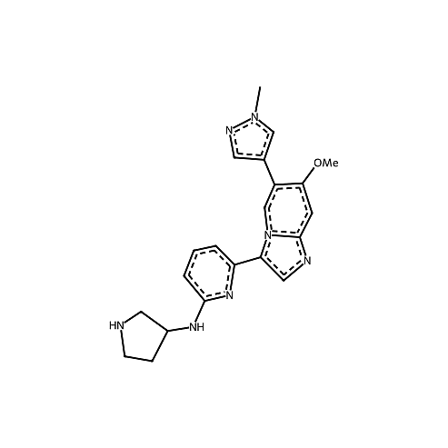 COc1cc2ncc(-c3cccc(NC4CCNC4)n3)n2cc1-c1cnn(C)c1